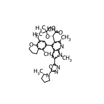 Cc1nc2c(cc(-c3nnc(N4CCC[C@@H]4C)o3)n2C)c(-c2cc(F)c3c(c2C)CCCO3)c1[C@H](OC(C)(C)C)C(=O)O